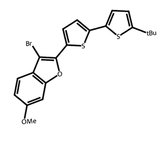 COc1ccc2c(Br)c(-c3ccc(-c4ccc(C(C)(C)C)s4)s3)oc2c1